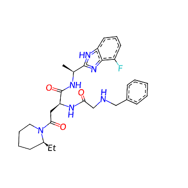 CC[C@H]1CCCCN1C(=O)C[C@H](NC(=O)CNCc1ccccc1)C(=O)N[C@@H](C)c1nc2c(F)cccc2[nH]1